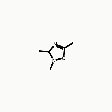 CC1=NC(C)N(C)O1